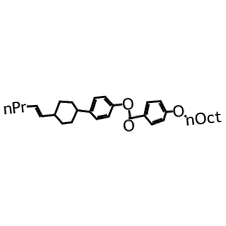 CCCC=CC1CCC(c2ccc(OC(=O)c3ccc(OCCCCCCCC)cc3)cc2)CC1